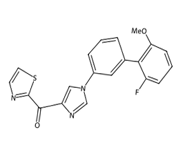 COc1cccc(F)c1-c1cccc(-n2cnc(C(=O)c3nccs3)c2)c1